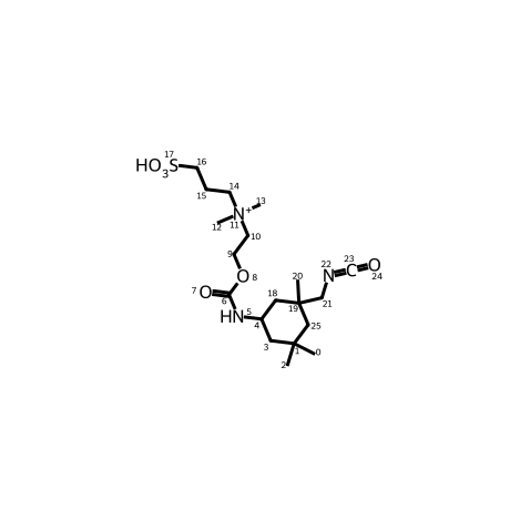 CC1(C)CC(NC(=O)OCC[N+](C)(C)CCCS(=O)(=O)O)CC(C)(CN=C=O)C1